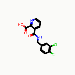 O=C(NCc1ccc(Cl)c(Cl)c1)c1cccnc1C(=O)O